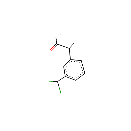 COC(=O)[C](C)c1cccc(C(F)F)c1